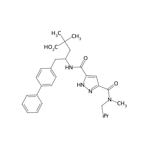 CC(C)CN(C)C(=O)c1cc(C(=O)NC(Cc2ccc(-c3ccccc3)cc2)CC(C)(C)C(=O)O)[nH]n1